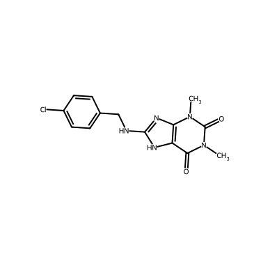 Cn1c(=O)c2[nH]c(NCc3ccc(Cl)cc3)nc2n(C)c1=O